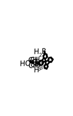 Bc1ccc2c(c1)-c1cc(BOC(C)(C)C(C)(C)O)ccc1C21c2ccccc2-c2ccccc21